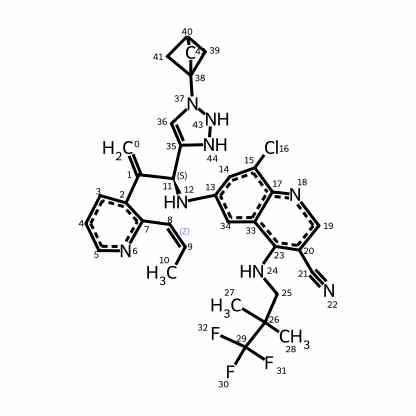 C=C(c1cccnc1/C=C\C)[C@H](Nc1cc(Cl)c2ncc(C#N)c(NCC(C)(C)C(F)(F)F)c2c1)C1=CN(C23CC(C2)C3)NN1